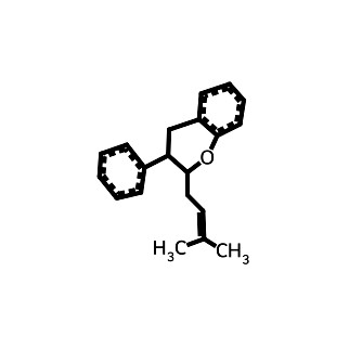 CC(C)=CCC1Oc2ccccc2CC1c1ccccc1